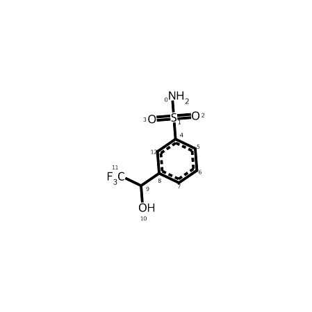 NS(=O)(=O)c1cccc(C(O)C(F)(F)F)c1